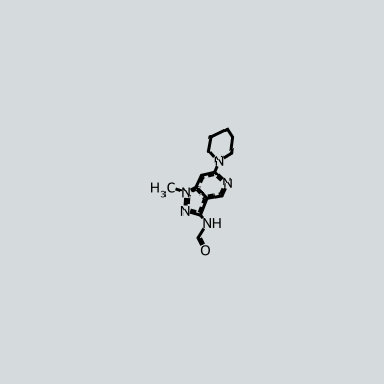 Cn1nc(NC=O)c2cnc(N3CCCCC3)cc21